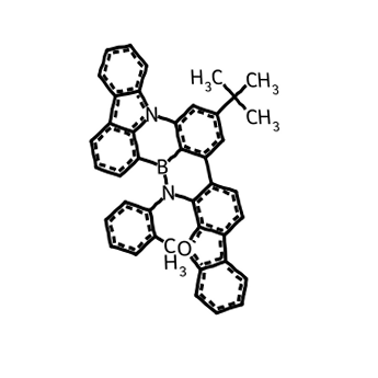 Cc1ccccc1N1B2c3c(cc(C(C)(C)C)cc3-n3c4ccccc4c4cccc2c43)-c2ccc3c(oc4ccccc43)c21